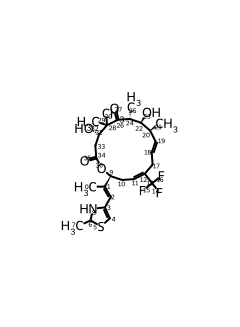 C/C(=C\C1=CSC(C)N1)[C@@H]1C/C=C(/C(F)(F)F)C/C=C/[C@H](C)[C@H](O)[C@@H](C)C(=O)C(C)(C)[C@@H](O)CC(=O)O1